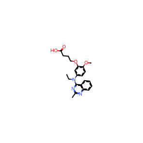 CCN(c1ccc(OC)c(OCCCC(=O)O)c1)c1nc(C)nc2ccccc12